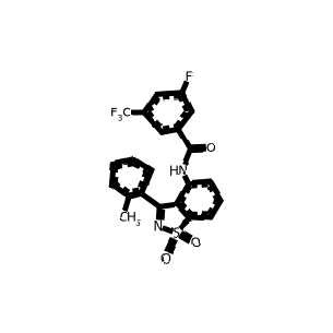 Cc1ccccc1C1=NS(=O)(=O)c2cccc(NC(=O)c3cc(F)cc(C(F)(F)F)c3)c21